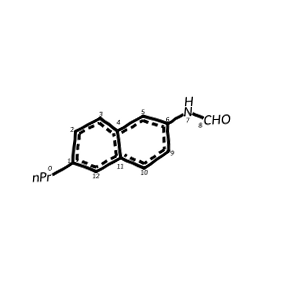 CCCc1ccc2cc(NC=O)ccc2c1